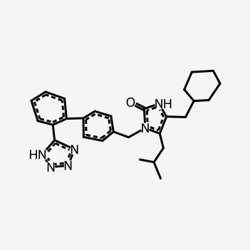 CC(C)Cc1c(CC2CCCCC2)[nH]c(=O)n1Cc1ccc(-c2ccccc2-c2nnn[nH]2)cc1